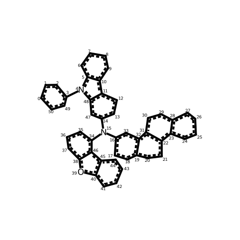 c1ccc(-n2c3ccccc3c3ccc(N(c4ccc5ccc6c7ccccc7ccc6c5c4)c4cccc5oc6ccccc6c45)cc32)cc1